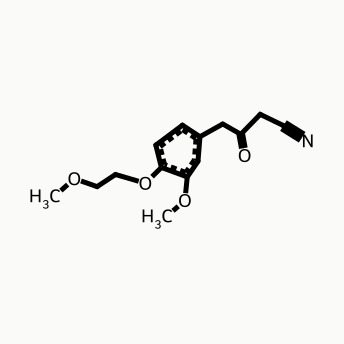 COCCOc1ccc(CC(=O)CC#N)cc1OC